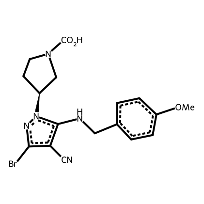 COc1ccc(CNc2c(C#N)c(Br)nn2[C@H]2CCN(C(=O)O)C2)cc1